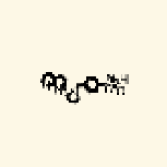 O=c1[nH]nc(-c2ccc(CN3CCC[C@@H]3c3ccc4cccnc4n3)cc2)o1